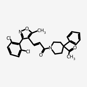 CC(=O)C1(c2ccccc2)CCN(C(=O)C=Cc2c(-c3c(Cl)cccc3Cl)noc2C)CC1